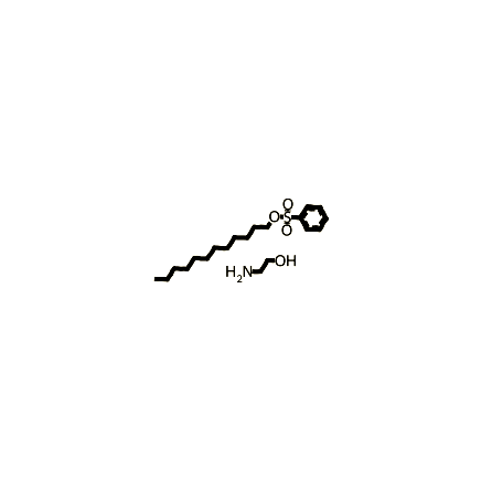 CCCCCCCCCCCCOS(=O)(=O)c1ccccc1.NCCO